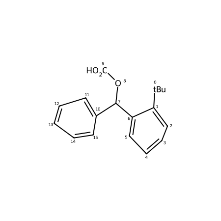 CC(C)(C)c1ccccc1C(OC(=O)O)c1ccccc1